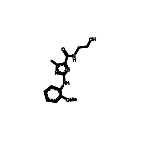 COc1ccccc1Nc1nc(C)c(C(=O)NCCO)s1